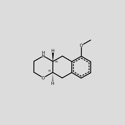 COc1cccc2c1C[C@H]1NCCO[C@@H]1C2